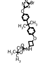 CC(C)(C)OC(=O)NC1CC(Oc2ccc(C(C)(C)c3ccc(Oc4nnc(Br)s4)cc3)cc2)C1